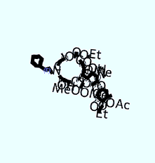 CCC(=O)O[C@@H]1CC(=O)O[C@H](C)CCN(C/C=C/c2ccccc2)C[C@H](O)[C@H](C)C[C@H](CC(OC)OC)[C@H]([C@@H]2O[C@H](C)[C@@H](O[C@@H]3C[C@@](C)(OC(C)=O)[C@@H](OC(=O)CC)[C@H](C)O3)[C@H](N(C)C)[C@H]2O)[C@@H]1OC